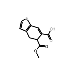 COC(=O)C1Cc2ccsc2C=C1C(=O)O